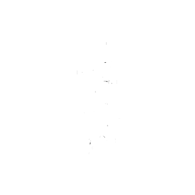 CC[C@@H](O)[C@@H](O)[C@@H](N)COC1CCC[C@H](O)[C@H](O)[C@H]1O